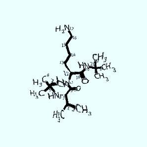 CC(C)[C@H](NC(C)(C)C)C(=O)N[C@@H](CCCCN)C(=O)NC(C)(C)C